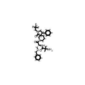 CC(C)(N)C(=O)N[C@H](COCc1ccccc1)C(=O)N1CCCC2(C1)C(=O)N(CC(F)(F)F)CC2c1ccccc1